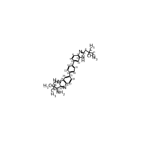 CC(C)(C)Cc1nc2ccc(-c3ccc(-c4ccc5nc([C@@H](N)C(C)(C)C)[nH]c5c4)cc3)cc2[nH]1